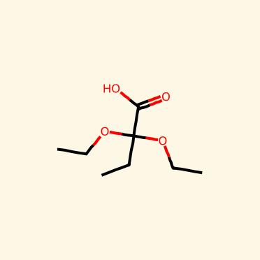 CCOC(CC)(OCC)C(=O)O